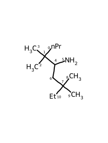 CCCC(C)(C)C(N)CC(C)(C)CC